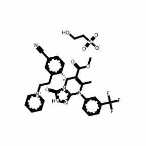 COC(=O)C1=C(C)N(c2cccc(C(F)(F)F)c2)c2n[nH]c(=O)n2[C@@H]1c1ccc(C#N)cc1CC[n+]1ccccc1.O=S(=O)([O-])CCO